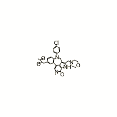 Cn1cc2c3c(c(CN4CCOCC4)[nH]c3c1=O)CN(c1ccc(Cl)cc1)c1ccc(CS(C)(=O)=O)cc1-2